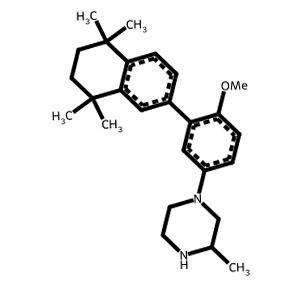 COc1ccc(N2CCNC(C)C2)cc1-c1ccc2c(c1)C(C)(C)CCC2(C)C